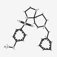 COc1ccc(S(=O)(=O)N2CCOC23CCN(Cc2ccccc2)CC3)cc1